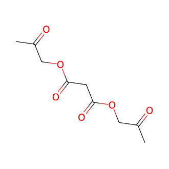 CC(=O)COC(=O)CC(=O)OCC(C)=O